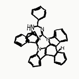 C1=CC=CCC=1C1N=C(n2c3c(c4ccccc42)[C@@H]2C=CC=CC2c2c-3n(-c3ccccc3)c3ccccc23)N=C(c2ccccc2)N1